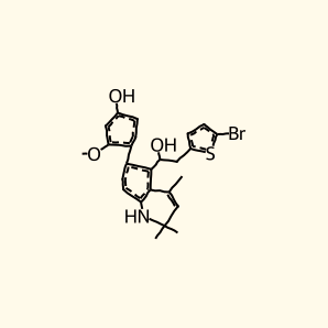 COc1cc(O)ccc1-c1ccc2c(c1C(O)Cc1ccc(Br)s1)C(C)=CC(C)(C)N2